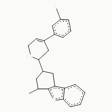 CC1CC(C2CC(c3cccc(F)c3)=CCN2)Cc2c1[nH]c1ccccc21